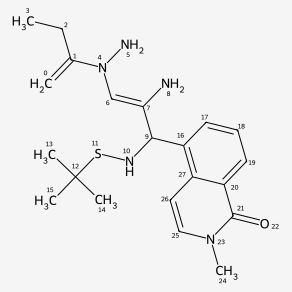 C=C(CC)N(N)/C=C(\N)C(NSC(C)(C)C)c1cccc2c(=O)n(C)ccc12